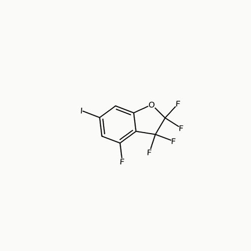 Fc1cc(I)cc2c1C(F)(F)C(F)(F)O2